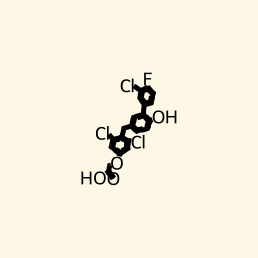 O=C(O)COc1cc(Cl)c(Cc2ccc(O)c(-c3ccc(F)c(Cl)c3)c2)c(Cl)c1